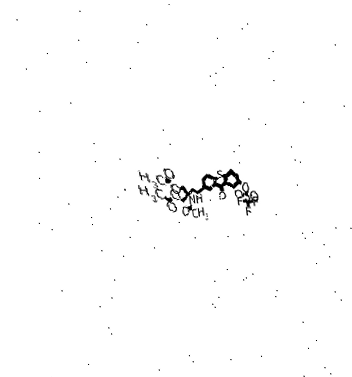 CC(=O)NC(CCc1ccc2sc3ccc(OS(=O)(=O)C(F)(F)F)cc3c(=O)c2c1)(COC(C)=O)COC(C)=O